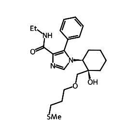 CCNC(=O)c1ncn([C@H]2CCCC[C@]2(O)COCCCSC)c1-c1ccccc1